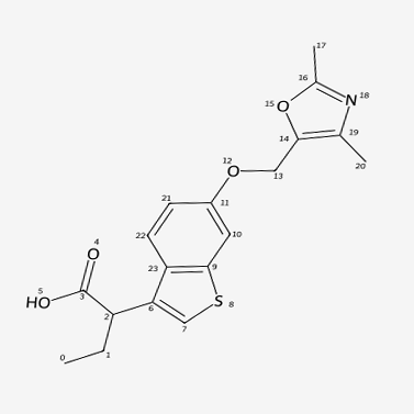 CCC(C(=O)O)c1csc2cc(OCc3oc(C)nc3C)ccc12